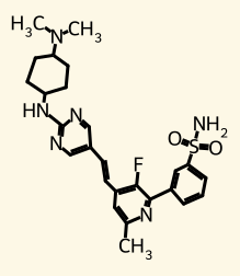 Cc1cc(/C=C/c2cnc(NC3CCC(N(C)C)CC3)nc2)c(F)c(-c2cccc(S(N)(=O)=O)c2)n1